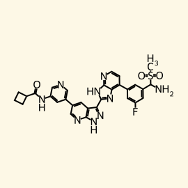 CS(=O)(=O)C(N)c1cc(F)cc(-c2ccnc3[nH]c(-c4n[nH]c5ncc(-c6cncc(NC(=O)C7CCC7)c6)cc45)nc23)c1